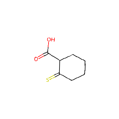 O=C(O)C1CCCCC1=S